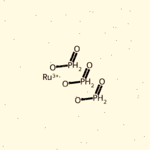 O=[PH2][O-].O=[PH2][O-].O=[PH2][O-].[Ru+3]